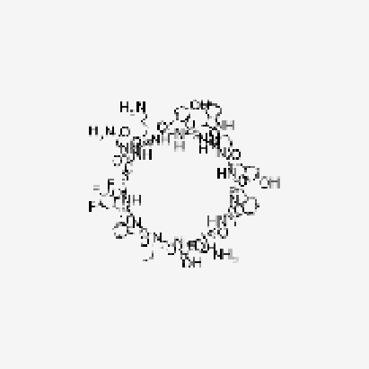 CCCC[C@H]1C(=O)N2C[C@@H](O)C[C@@H]2C(=O)N[C@@H](CC(N)=O)C(=O)N[C@@H](C(C)C)C(=O)N(C)[C@@H](Cc2ccccc2)C(=O)N[C@@H](Cc2ccc(O)cc2)C(=O)N2CCCC[C@@H]2C(=O)N[C@@H](Cc2c[nH]c3ccccc23)C(=O)N[C@@H](Cc2ccc(O)cc2)C(=O)N[C@@H](CCCCN)C(=O)N[C@H](C(=O)NCC(N)=O)CSCC(=O)N[C@@H](Cc2cc(F)c(F)c(F)c2)C(=O)N(C)[C@@H](Cc2ccccc2)C(=O)N1C